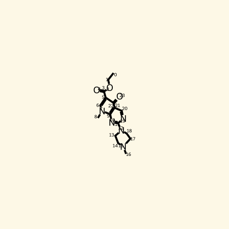 CCOC(=O)c1cn(C)c2nc(N3CCN(C)CC3)ncc2c1=O